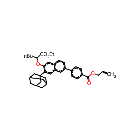 C=CCOC(=O)c1ccc(-c2ccc3cc(OC(CCCC)C(=O)OCC)c(C45CC6CC(CC(C6)C4)C5)cc3c2)cc1